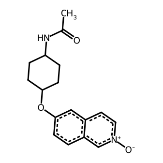 CC(=O)NC1CCC(Oc2ccc3c[n+]([O-])ccc3c2)CC1